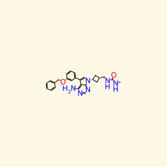 CNC(=O)NC[C@H]1C[C@H](n2cc(-c3cccc(OCc4ccccc4)c3)c3c(N)ncnc32)C1